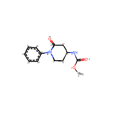 CC(C)(C)OC(=O)NC1CCN(c2ccccc2)C(=O)C1